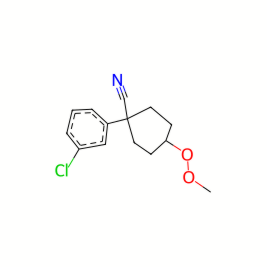 COOC1CCC(C#N)(c2cccc(Cl)c2)CC1